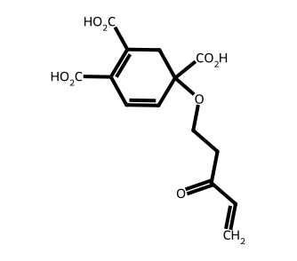 C=CC(=O)CCOC1(C(=O)O)C=CC(C(=O)O)=C(C(=O)O)C1